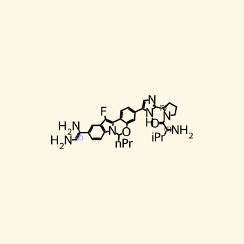 CCCC1Oc2cc(-c3cnc([C@H]4CCCN4C(=O)[C@@H](N)C(C)C)[nH]3)ccc2-c2c(F)c3cc(/C(N)=C/N)ccc3n21